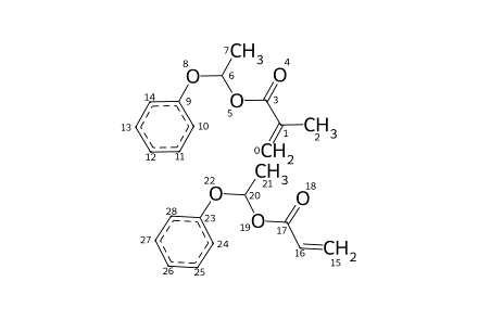 C=C(C)C(=O)OC(C)Oc1ccccc1.C=CC(=O)OC(C)Oc1ccccc1